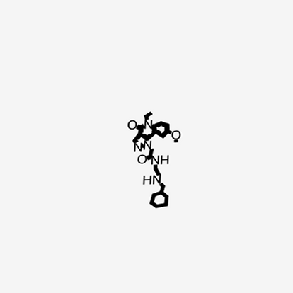 CCn1c(=O)c2cnn(CC(=O)NCCNCC3CCCCC3)c2c2cc(OC)ccc21